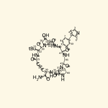 Cc1ncsc1-c1ccc([C@H]2NC(=O)[C@@H]3C[C@@H](O)CN3C(=O)[C@H](C(C)(C)C)NC(=O)CSC[C@H](C(N)=O)NC(=O)[C@H]3CNCCN3C(=O)CNC2=O)cc1